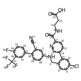 N#Cc1cc(NCc2ccc(Cl)cc2-c2ccc(C(=O)NCCC(=O)O)nc2)ccc1-c1ccc(F)c(C(F)(F)F)c1